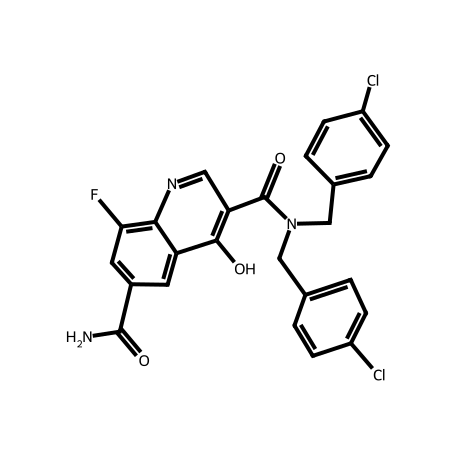 NC(=O)c1cc(F)c2ncc(C(=O)N(Cc3ccc(Cl)cc3)Cc3ccc(Cl)cc3)c(O)c2c1